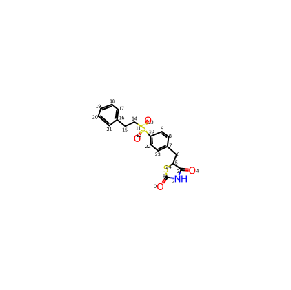 O=C1NC(=O)C(Cc2ccc(S(=O)(=O)CCc3ccccc3)cc2)S1